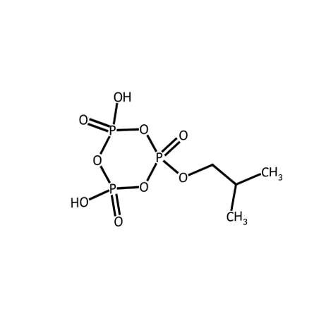 CC(C)COP1(=O)OP(=O)(O)OP(=O)(O)O1